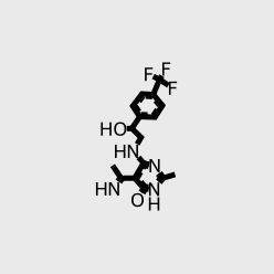 CC(=N)c1c(NCC(O)c2ccc(C(F)(F)F)cc2)nc(C)[nH]c1=O